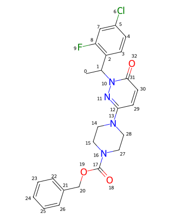 CC(c1ccc(Cl)cc1F)n1nc(N2CCN(C(=O)OCc3ccccc3)CC2)ccc1=O